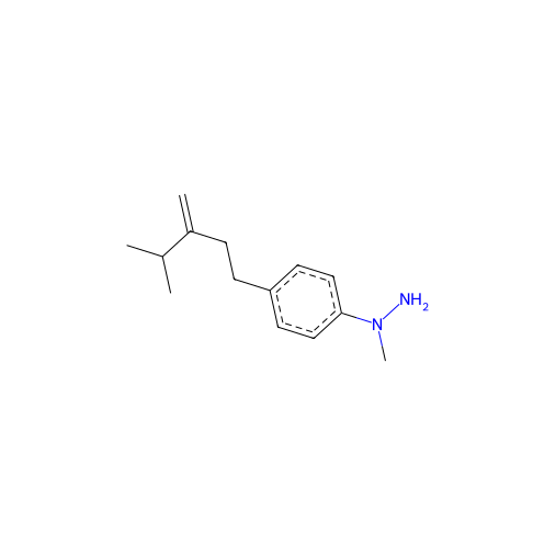 C=C(CCc1ccc(N(C)N)cc1)C(C)C